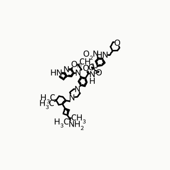 C[C@@H]1CN(c2cc(N3CCN(CC4=C(C56CC(C(C)(C)N)(C5)C6)CC(C)(C)CC4)CC3)ccc2C(=O)NS(=O)(=O)c2ccc(NCC3CCOCC3)c([N+](=O)[O-])c2)c2cc3cc[nH]c3nc2O1